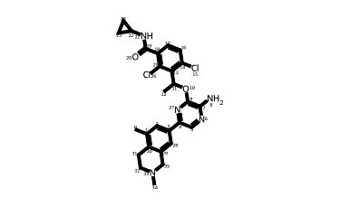 Cc1cc(-c2cnc(N)c(OC(C)c3c(Cl)ccc(C(=O)NC4CC4)c3Cl)n2)cc2c1CCN(C)C2